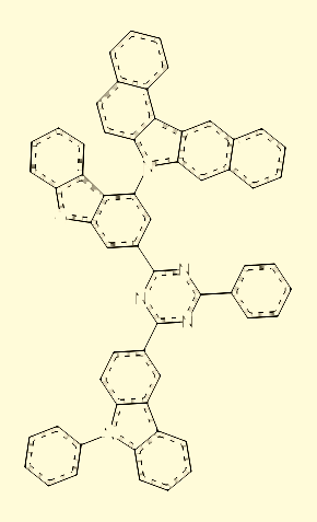 c1ccc(-c2nc(-c3cc(-n4c5cc6ccccc6cc5c5c6ccccc6ccc54)c4c(c3)oc3ccccc34)nc(-c3ccc4c(c3)c3ccccc3n4-c3ccccc3)n2)cc1